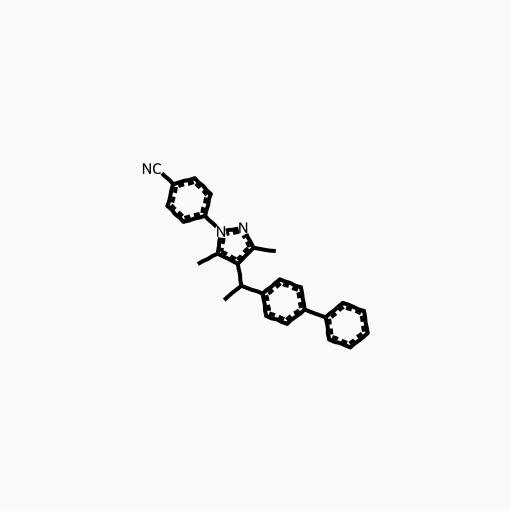 Cc1nn(-c2ccc(C#N)cc2)c(C)c1C(C)c1ccc(-c2ccccc2)cc1